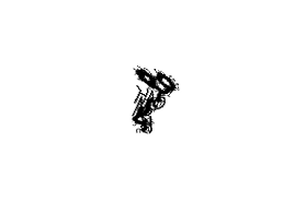 COc1ccc2nc(NC(=O)C(CC3CCCC3)c3ccccc3)sc2n1